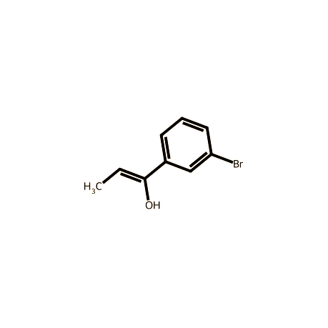 CC=C(O)c1cccc(Br)c1